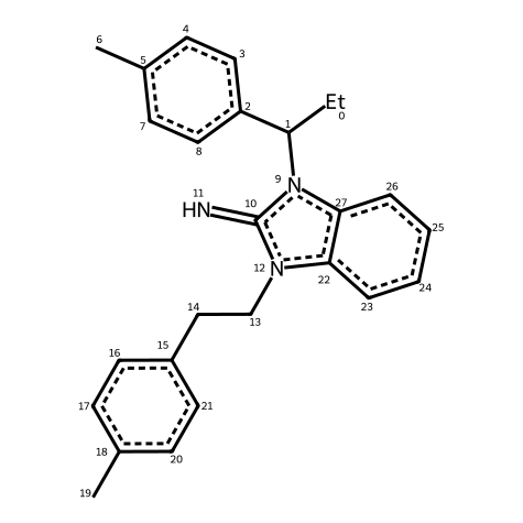 CCC(c1ccc(C)cc1)n1c(=N)n(CCc2ccc(C)cc2)c2ccccc21